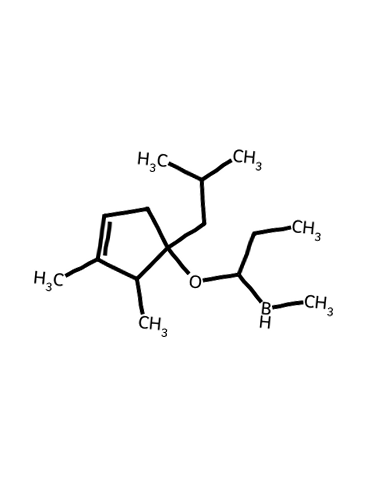 CBC(CC)OC1(CC(C)C)CC=C(C)C1C